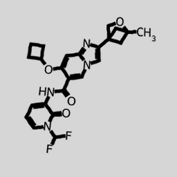 CC12CC(c3cn4cc(C(=O)Nc5cccn(C(F)F)c5=O)c(OC5CCC5)cc4n3)(CO1)C2